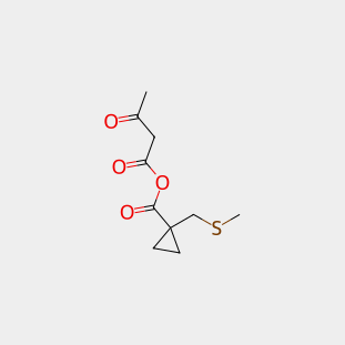 CSCC1(C(=O)OC(=O)CC(C)=O)CC1